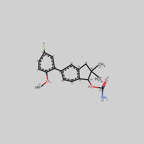 CCCOc1ccc(F)cc1-c1ccc2c(c1)CC(C)(C)C2OC(N)=O